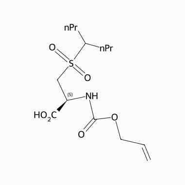 C=CCOC(=O)N[C@H](CS(=O)(=O)C(CCC)CCC)C(=O)O